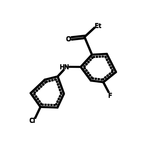 CCC(=O)c1ccc(F)cc1Nc1ccc(Cl)cc1